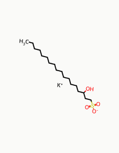 CCCCCCCCCCCCCCCC(O)CCS(=O)(=O)[O-].[K+]